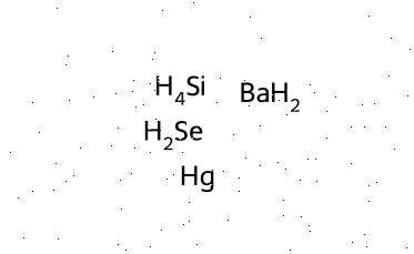 [BaH2].[Hg].[SeH2].[SiH4]